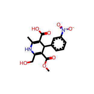 COC(=O)C1=C(CO)NC(C)=C(C(=O)O)C1c1cccc([N+](=O)[O-])c1